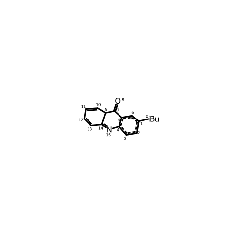 CCC(C)c1ccc2c(c1)C(=O)C1C=CC=CC1=N2